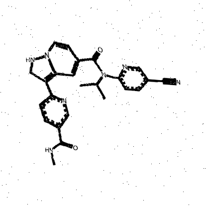 CNC(=O)c1ccc(C2=C3C=C(C(=O)N(c4ccc(C#N)cn4)C(C)C)C=CN3NC2)nc1